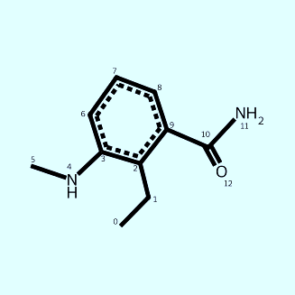 CCc1c(NC)cccc1C(N)=O